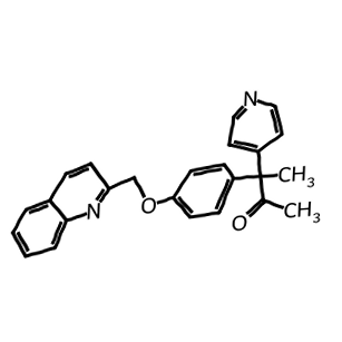 CC(=O)C(C)(c1ccncc1)c1ccc(OCc2ccc3ccccc3n2)cc1